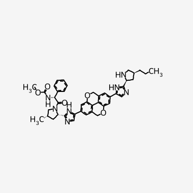 CCC[C@@H]1CN[C@H](c2ncc(-c3cc4c5c(c3)OCc3cc(-c6cnc([C@@H]7C[C@H](C)CN7C(=O)[C@H](NC(=O)OC)c7ccccc7)[nH]6)cc(c3-5)OC4)[nH]2)C1